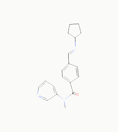 CN(C(=O)c1ccc(/C=N/C2CCCC2)cc1)c1cccnc1